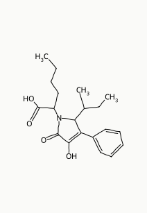 CCCCC(C(=O)O)N1C(=O)C(O)=C(c2ccccc2)C1C(C)CC